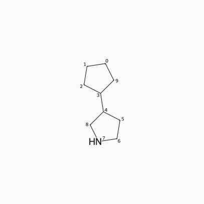 C1CCC(C2CCNC2)C1